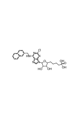 O=P(O)(O)CCCCC1OC(n2cnc3c(NCc4ccc5ccccc5c4)nc(Cl)nc32)C(O)C1O